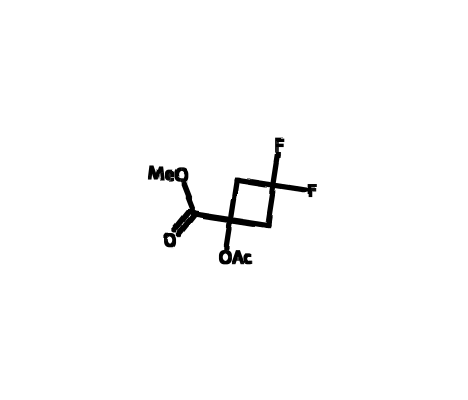 COC(=O)C1(OC(C)=O)CC(F)(F)C1